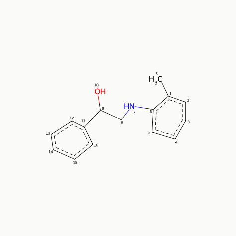 Cc1ccccc1NCC(O)c1ccccc1